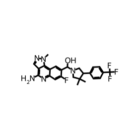 Cn1ncc2c(N)nc3cc(F)c(C(O)N4CC(c5ccc(C(F)(F)F)cc5)C(C)(C)C4)cc3c21